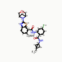 COc1ccc2nc(N3C4COCC3C4)sc2c1C(=O)Nc1cc(F)ccc1C(=O)NC12CC(C(F)(F)F)(C1)C2